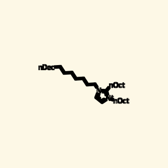 CCCCCCCCCCCCCCCCCn1cc[n+](CCCCCCCC)c1CCCCCCCC